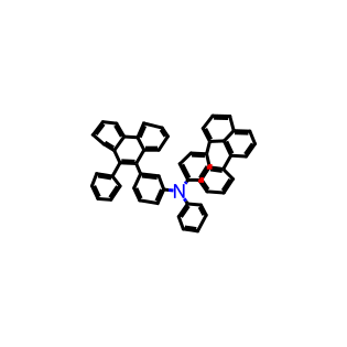 c1ccc(-c2c(-c3cccc(N(c4ccccc4)c4ccc(-c5cccc6cccc(-c7ccccc7)c56)cc4)c3)c3ccccc3c3ccccc23)cc1